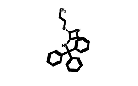 CCCO[C@@H]1NC(=O)[C@H]1NC(c1ccccc1)(c1ccccc1)c1ccccc1